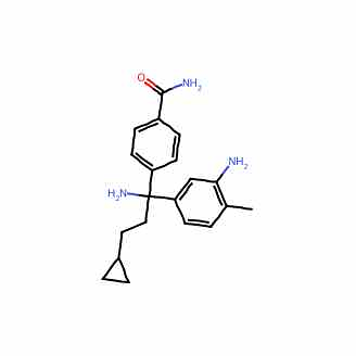 Cc1ccc(C(N)(CCC2CC2)c2ccc(C(N)=O)cc2)cc1N